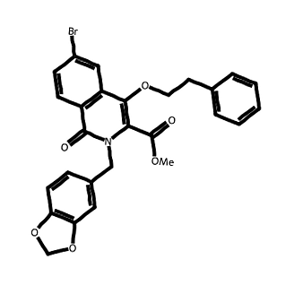 COC(=O)c1c(OCCc2ccccc2)c2cc(Br)ccc2c(=O)n1Cc1ccc2c(c1)OCO2